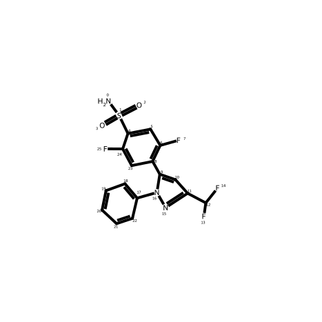 NS(=O)(=O)c1cc(F)c(-c2cc(C(F)F)nn2-c2ccccc2)cc1F